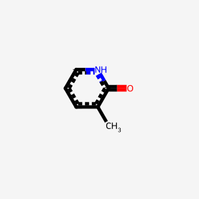 Cc1cc[c][nH]c1=O